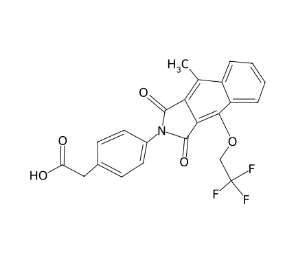 Cc1c2c(c(OCC(F)(F)F)c3ccccc13)C(=O)N(c1ccc(CC(=O)O)cc1)C2=O